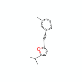 Cc1cccc(C#Cc2ccc(C(C)C)o2)c1